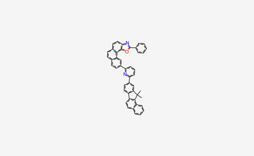 CC1(C)c2cc(-c3cccc(-c4ccc5ccc6ccc7nc(-c8ccccc8)oc7c6c5c4)n3)ccc2-c2ccc3ccccc3c21